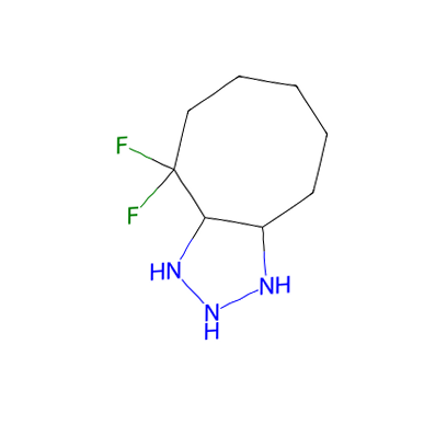 FC1(F)CCCCCC2NNNC21